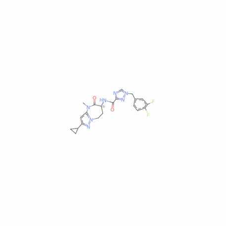 CN1C(=O)[C@@H](NC(=O)c2ncn(Cc3ccc(F)c(F)c3)n2)CCn2nc(C3CC3)cc21